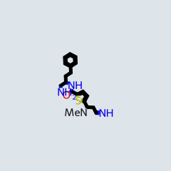 CNC(CC=N)c1ccc(C(=O)NC(CN)CCc2ccccc2)s1